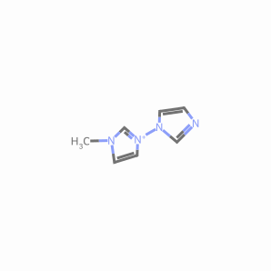 Cn1cc[n+](-n2ccnc2)c1